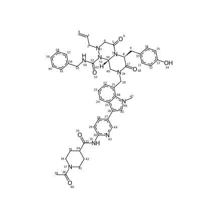 C=CCN1CC(=O)N2[C@@H](Cc3ccc(O)cc3)C(=O)N(Cc3cccc4c(-c5ccc(NC(=O)C6CCN(C(C)=O)CC6)nc5)cn(C)c34)C[C@@H]2N1C(=O)NCc1ccccc1